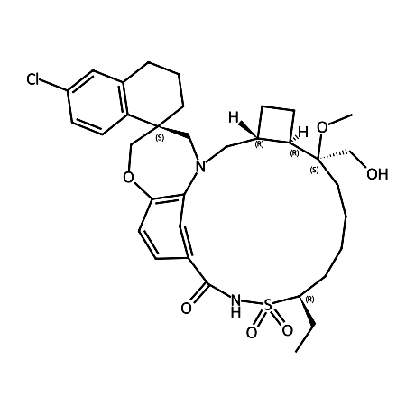 CC[C@@H]1CCCC[C@](CO)(OC)[C@@H]2CC[C@H]2CN2C[C@@]3(CCCc4cc(Cl)ccc43)COc3ccc(cc32)C(=O)NS1(=O)=O